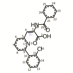 O=C(O)/C(=C\c1cccc(-c2ccccc2Cl)n1)NC(=O)c1ccccc1